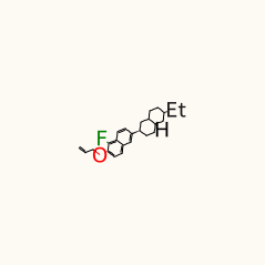 C=CCOc1ccc2cc([C@@H]3CC[C@@H]4CC(CC)CCC4C3)ccc2c1F